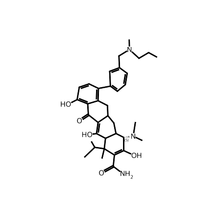 CCCN(C)Cc1cccc(-c2ccc(O)c3c2CC2CC4C(C(O)=C2C3=O)C(C)(C(C)C)C(C(N)=O)=C(O)[C@H]4N(C)C)c1